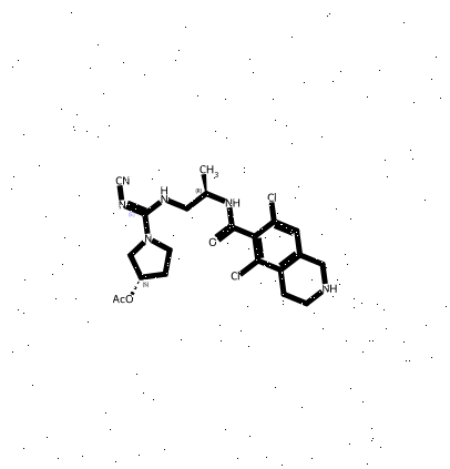 CC(=O)O[C@H]1CCN(/C(=N/C#N)NC[C@@H](C)NC(=O)c2c(Cl)cc3c(c2Cl)CCNC3)C1